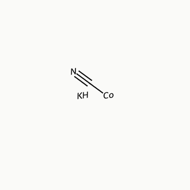 N#[C][Co].[KH]